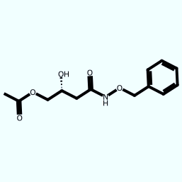 CC(=O)OC[C@H](O)CC(=O)NOCc1ccccc1